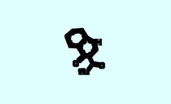 CC(C)(C)C(=O)c1c[nH]c2ccccc2c1=O